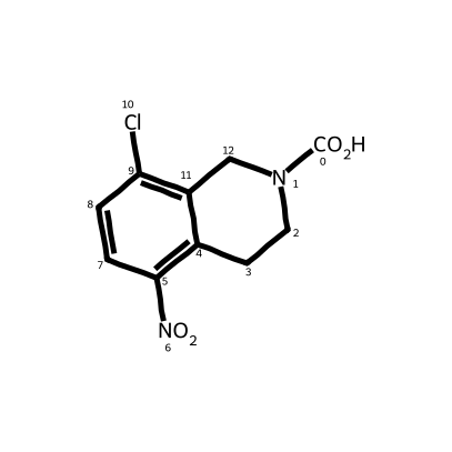 O=C(O)N1CCc2c([N+](=O)[O-])ccc(Cl)c2C1